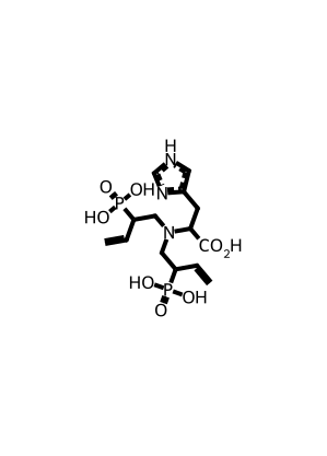 C=CC(CN(CC(C=C)P(=O)(O)O)C(Cc1c[nH]cn1)C(=O)O)P(=O)(O)O